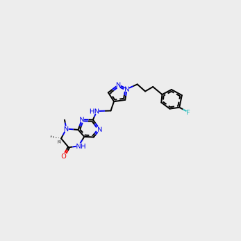 C[C@H]1C(=O)Nc2cnc(NCc3cnn(CCCc4ccc(F)cc4)c3)nc2N1C